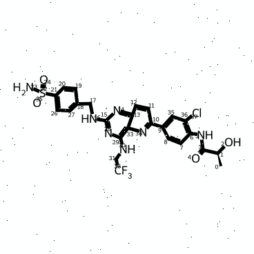 C[C@H](O)C(=O)Nc1ccc(-c2ccc3nc(NCc4ccc(S(N)(=O)=O)cc4)nc(NCC(F)(F)F)c3n2)cc1Cl